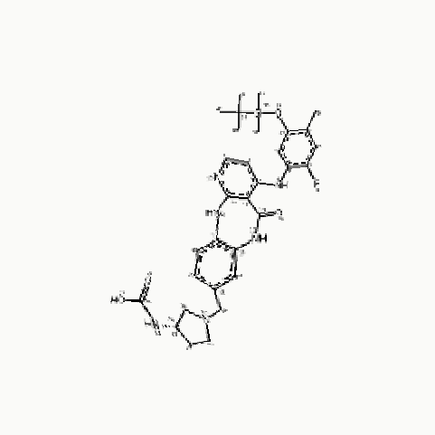 Cc1cc(F)c(Nc2ccnc3c2C(=O)Nc2cc(CN4CC[C@H](NC(=O)O)C4)ccc2N3)cc1O[Si](C)(C)C(C)(C)C